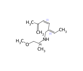 C=C(C)/C=C\C(=C/C)CN[C@H](C)COC